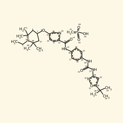 CCN1C(C)(C)CC(Oc2ccc(C(=O)Nc3ccc(NC(=O)Nc4cc(C(C)(C)C)on4)cc3)nc2)CC1(C)C.CS(=O)(=O)O